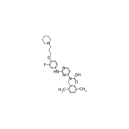 Cc1ccc(C)c(CN(C(=O)O)c2ccnc(Nc3ccc(OCCCN4CCCCC4)c(F)c3)n2)c1